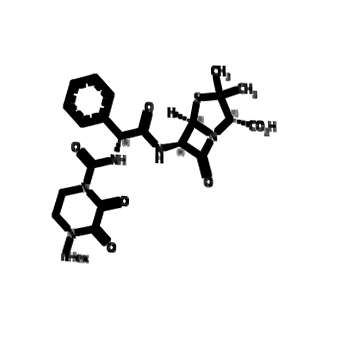 CCCCCCN1CCN(C(=O)N[C@@H](C(=O)N[C@@H]2C(=O)N3[C@@H]2SC(C)(C)[C@@H]3C(=O)O)c2ccccc2)C(=O)C1=O